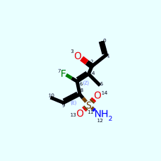 C=CC(=O)/C(C)=C(F)/C(=C\C)S(N)(=O)=O